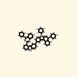 c1ccc(-c2nc(-c3cccc4oc5ccc(-c6ccc7c(c6)c6c8ccccc8c(-c8ccccc8)cc6n7-c6ccccc6)cc5c34)nc3ccccc23)cc1